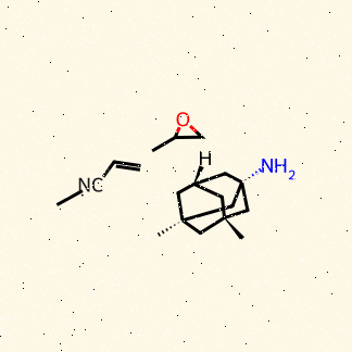 C=CC#N.CC1CO1.C[C@]12C[C@@H]3C[C@](C)(C1)C[C@@](N)(C3)C2.[CH2]C